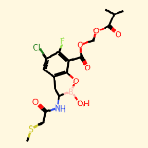 CSCC(=O)NC1Cc2cc(Cl)c(F)c(C(=O)OCOC(=O)C(C)C)c2OB1O